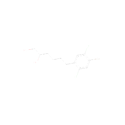 OCC(O)CCCCc1cc(Cl)c(Br)cc1Cl